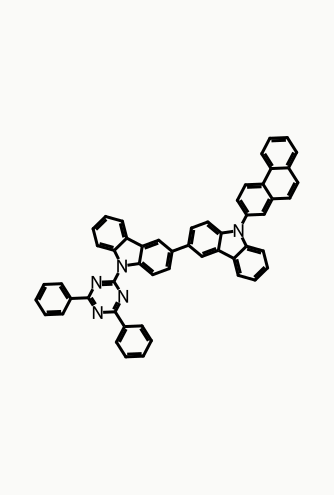 c1ccc(-c2nc(-c3ccccc3)nc(-n3c4ccccc4c4cc(-c5ccc6c(c5)c5ccccc5n6-c5ccc6c(ccc7ccccc76)c5)ccc43)n2)cc1